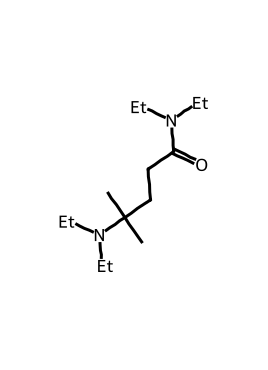 CCN(CC)C(=O)CCC(C)(C)N(CC)CC